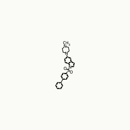 CN1CCN(c2ccc3c(ccn3S(=O)(=O)c3ccc(-c4ccccc4)cc3)c2)CC1